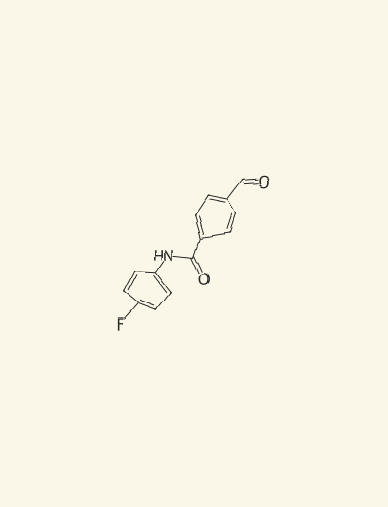 O=Cc1ccc(C(=O)Nc2ccc(F)cc2)cc1